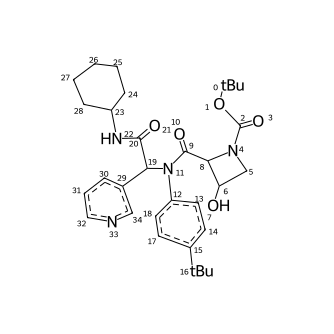 CC(C)(C)OC(=O)N1CC(O)C1C(=O)N(c1ccc(C(C)(C)C)cc1)C(C(=O)NC1CCCCC1)c1cccnc1